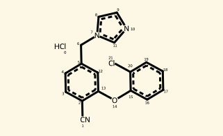 Cl.N#Cc1ccc(Cn2ccnc2)cc1Oc1ccccc1Cl